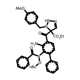 CCCCON(C(=O)c1ccccc1)c1c(-c2ccccc2)ccc(C(=O)C2(C(=O)OCC)C=NNN2Cc2ccc(OC)cc2)c1N